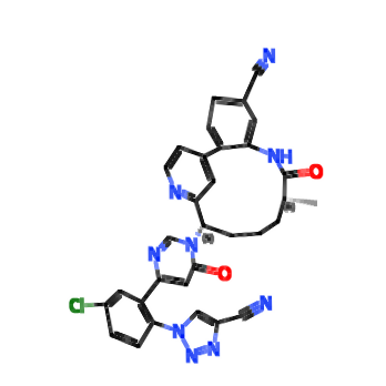 C[C@@H]1CCC[C@H](n2cnc(-c3cc(Cl)ccc3-n3cc(C#N)nn3)cc2=O)c2cc(ccn2)-c2ccc(C#N)cc2NC1=O